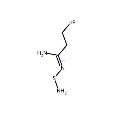 CCCCC/C(N)=N/SN